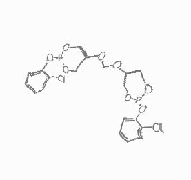 Clc1ccccc1OP1OCC(OCOC2COP(Oc3ccccc3Cl)OC2)CO1